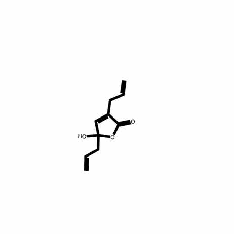 C=CCC1=CC(O)(CC=C)OC1=O